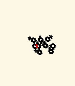 Cc1cc2c3c(c1)N(c1ccc(C(C)(C)C)cc1-c1ccc(C(C)(C)C)cc1)c1ccc(-c4ccccc4)cc1B3c1ccc(N3c4ccccc4C4(C)CCCCC34C)cc1N2c1ccc(C(C)(C)C)cc1